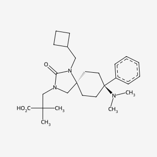 CN(C)[C@]1(c2ccccc2)CC[C@]2(CC1)CN(CC(C)(C)C(=O)O)C(=O)N2CC1CCC1